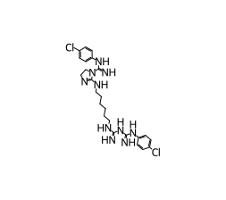 N=C(NCCCCCCNC1=NCCN1C(=N)Nc1ccc(Cl)cc1)NC(=N)Nc1ccc(Cl)cc1